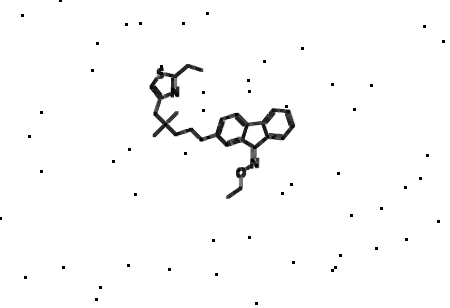 CCO/N=C1/c2ccccc2-c2ccc(CCCC(C)(C)Cc3csc(CC)n3)cc21